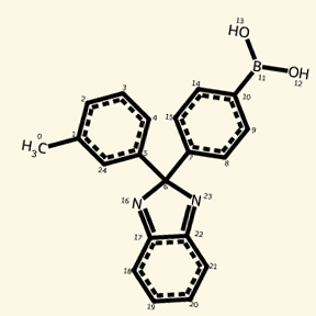 Cc1cccc(C2(c3ccc(B(O)O)cc3)N=c3ccccc3=N2)c1